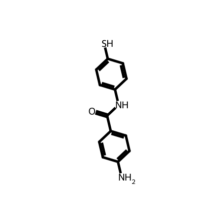 Nc1ccc(C(=O)Nc2ccc(S)cc2)cc1